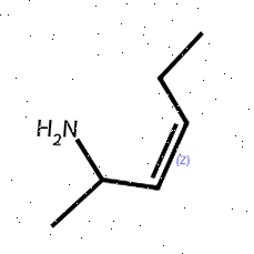 CC/C=C\C(C)N